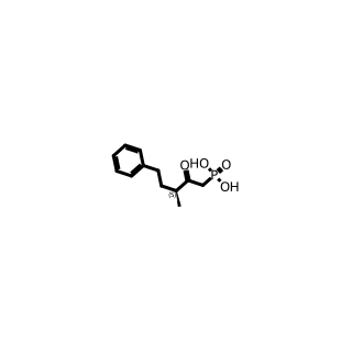 C[C@@H](CCc1ccccc1)C(=O)CP(=O)(O)O